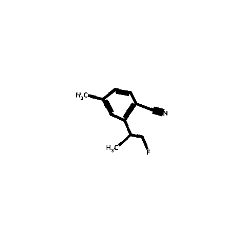 C[C](CF)c1cc(C)ccc1C#N